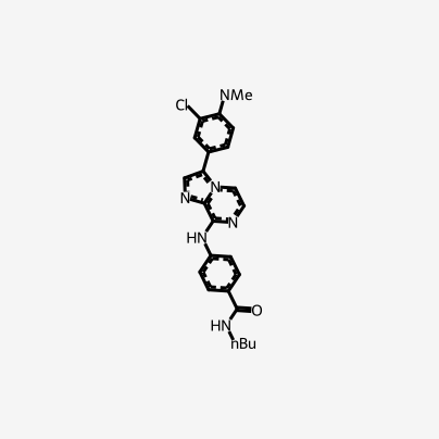 CCCCNC(=O)c1ccc(Nc2nccn3c(-c4ccc(NC)c(Cl)c4)cnc23)cc1